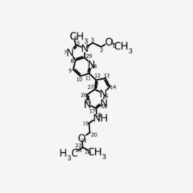 COCCn1c(C)nc2ccc(-c3ccn4nc(NCCOC(C)C)ncc34)nc21